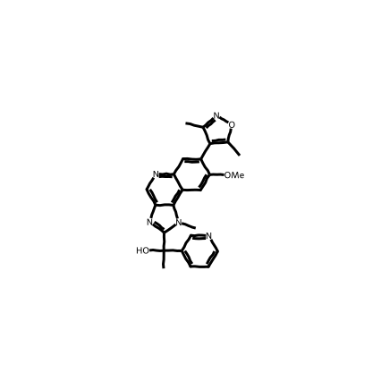 COc1cc2c(cc1-c1c(C)noc1C)ncc1nc(C(C)(O)c3cccnc3)n(C)c12